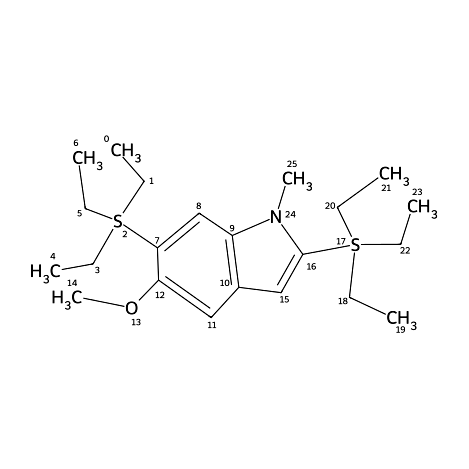 CCS(CC)(CC)c1cc2c(cc1OC)cc(S(CC)(CC)CC)n2C